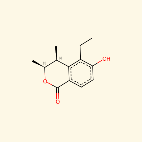 CCc1c(O)ccc2c1[C@H](C)[C@H](C)OC2=O